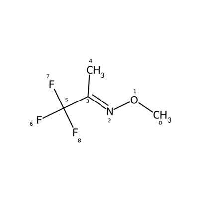 CO/N=C(\C)C(F)(F)F